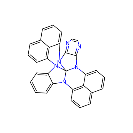 c1ccc2c(c1)N1c3cccc4cccc(c34)N3c4nccnc4N4c5cccc6cccc(c56)N2C134